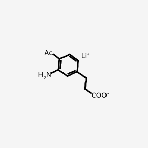 CC(=O)c1ccc(CCC(=O)[O-])cc1N.[Li+]